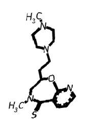 CN1CCN(CCC2CN(C)C(=S)c3cccnc3O2)CC1